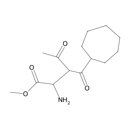 COC(=O)C(N)C(C(C)=O)C(=O)C1CCCCCC1